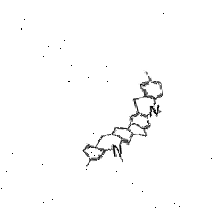 Cc1ccc2c(c1)Cc1cc3c(cc1N2C)Cc1cc2c(cc1-3)Cc1ccc(C)cc1N2C